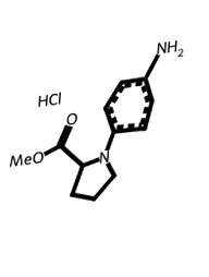 COC(=O)C1CCCN1c1ccc(N)cc1.Cl